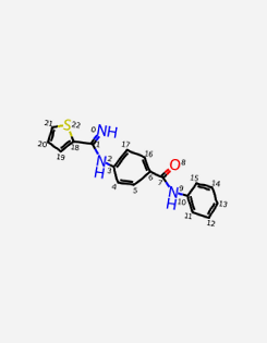 N=C(Nc1ccc(C(=O)Nc2ccccc2)cc1)c1cccs1